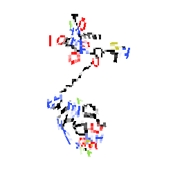 Cc1ncsc1-c1ccc(CNC(=O)[C@@H]2C[C@@H](O)CN2C(=O)[C@@H](NC(=O)C2(F)CC2)C(C)(C)C)c(OCCCCCCCCCn2cc(-c3cnc(N)c4c(-c5ccc(NS(=O)(=O)C(F)F)c(O[C@@H](C)c6ccc(F)cc6)c5)nn(C)c34)cn2)c1